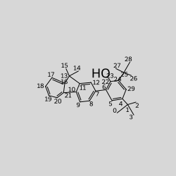 CC(C)(C)c1cc(-c2ccc3c(c2)C(C)(C)c2ccccc2-3)c(O)c(C(C)(C)C)c1